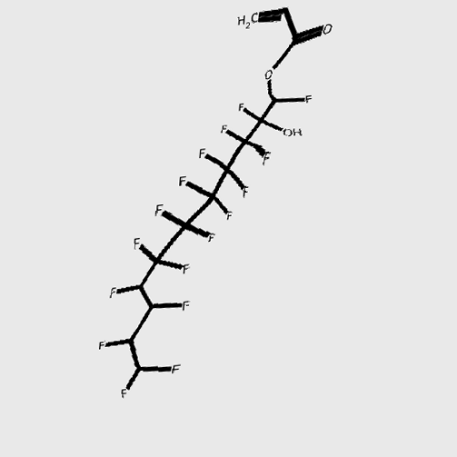 C=CC(=O)OC(F)C(O)(F)C(F)(F)C(F)(F)C(F)(F)C(F)(F)C(F)(F)C(F)C(F)C(F)C(F)F